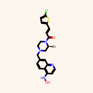 CC[C@H]1CN(Cc2ccc3c(NO)ccnc3c2)CCN1C(=O)C=Cc1ccc(Cl)s1